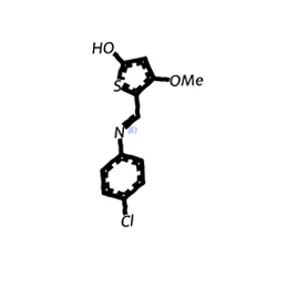 COc1cc(O)sc1/C=N/c1ccc(Cl)cc1